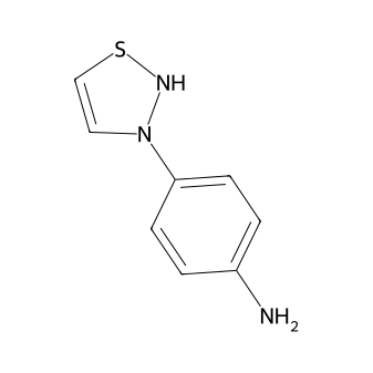 Nc1ccc(N2C=CSN2)cc1